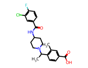 Cc1cc(C(=O)O)ccc1C(C)N1CCC(NC(=O)c2ccc(F)c(Cl)c2)CC1